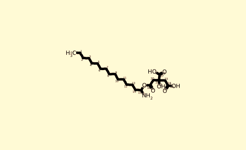 CCCCCCCCCCCCCCCC(N)OC(=O)CC(O)(CC(=O)O)C(=O)O